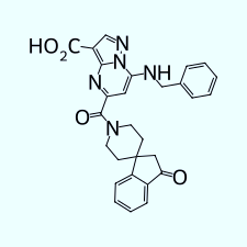 O=C1CC2(CCN(C(=O)c3cc(NCc4ccccc4)n4ncc(C(=O)O)c4n3)CC2)c2ccccc21